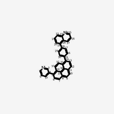 c1cncc(-c2ccc3ccc4ccc(-c5ccc(-c6cccc7ncccc67)cc5)c5ccc2c3c45)c1